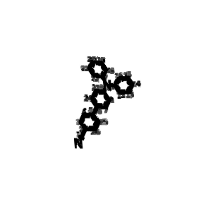 N#Cc1ccc(-c2ccc(N(c3ccccc3)c3ccccc3)cc2)cc1